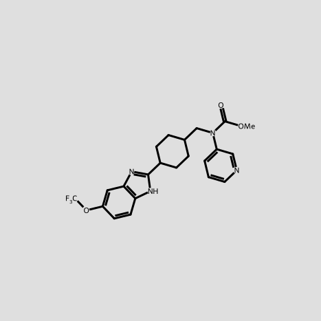 COC(=O)N(CC1CCC(c2nc3cc(OC(F)(F)F)ccc3[nH]2)CC1)c1cccnc1